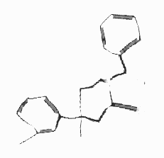 Cc1cccc(C2(C)CCN([C@@H](C)c3ccccc3)C(=O)C2)c1